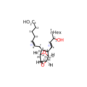 CCCCCCC(O)/C=C/[C@@H]1[C@H](C/C=C\CCCC(=O)O)[C@H]2O[C@@H]1[C@H]1O[C@H]12